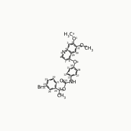 COc1cc2nccc(Oc3ccc(NC(=O)OC(C)c4cccc(Br)c4)cc3)c2cc1OC